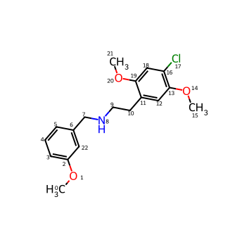 COc1cccc(CNCCc2cc(OC)c(Cl)cc2OC)c1